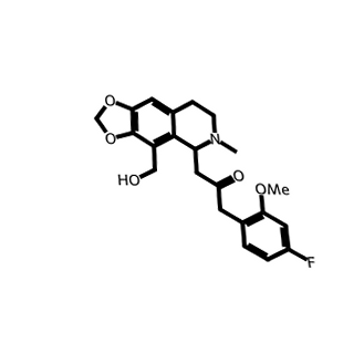 COc1cc(F)ccc1CC(=O)CC1c2c(cc3c(c2CO)OCO3)CCN1C